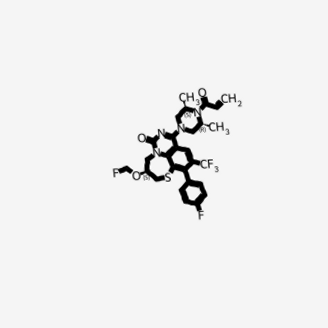 C=CC(=O)N1[C@H](C)CN(c2nc(=O)n3c4c(c(-c5ccc(F)cc5)c(C(F)(F)F)cc24)SC[C@@H](OCF)C3)C[C@@H]1C